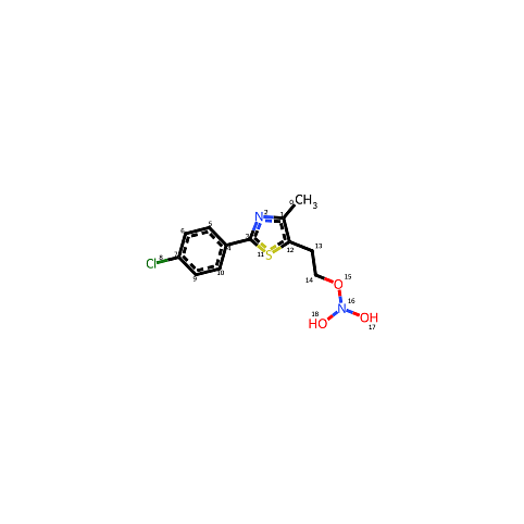 Cc1nc(-c2ccc(Cl)cc2)sc1CCON(O)O